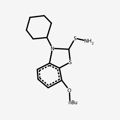 CCCCOc1cccc2c1SC(SN)N2C1CCCCC1